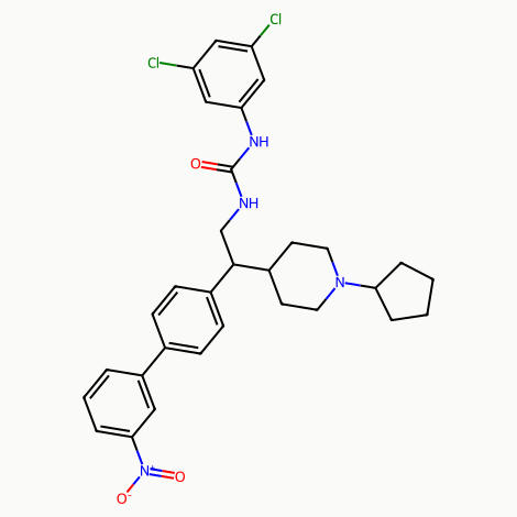 O=C(NCC(c1ccc(-c2cccc([N+](=O)[O-])c2)cc1)C1CCN(C2CCCC2)CC1)Nc1cc(Cl)cc(Cl)c1